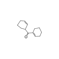 O=C(C1=CCCCC1)C1C=CCCC1